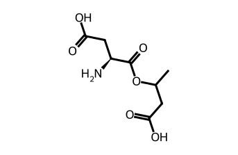 CC(CC(=O)O)OC(=O)[C@@H](N)CC(=O)O